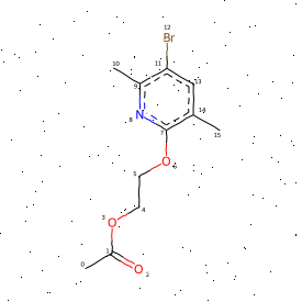 CC(=O)OCCOc1nc(C)c(Br)cc1C